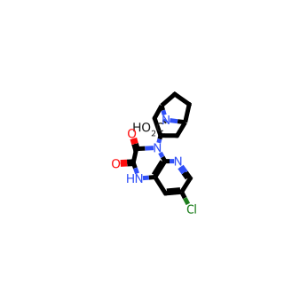 O=C(O)N1C2CCC1CC(n1c(=O)c(=O)[nH]c3cc(Cl)cnc31)C2